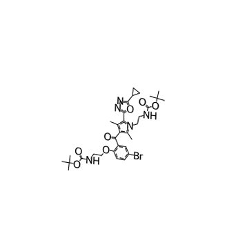 Cc1c(C(=O)c2cc(Br)ccc2OCCNC(=O)OC(C)(C)C)c(C)n(CCNC(=O)OC(C)(C)C)c1-c1nnc(C2CC2)o1